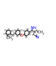 CC[C@@H](CC#N)C(=N)c1ccc(Oc2cccc(Cc3ccccc3C)c2)cc1